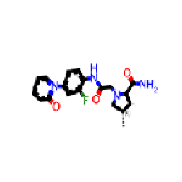 C[C@H]1[CH]C(C(N)=O)N(CC(=O)Nc2ccc(-n3ccccc3=O)cc2F)C1